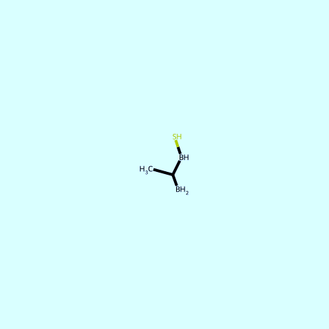 BC(C)BS